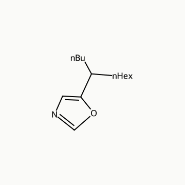 CCCCCCC(CCCC)c1cnco1